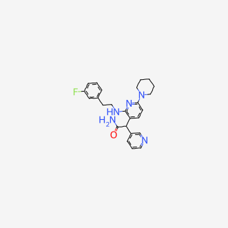 NC(=O)C(c1cccnc1)c1ccc(N2CCCCC2)nc1NCCc1cccc(F)c1